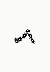 c1ccc(N(c2ccc(-c3ccc(C45CCCC4CCC5)cc3)cc2)c2ccc3c(c2)oc2ccccc23)cc1